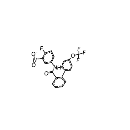 O=C(Nc1ccc(F)c([N+](=O)[O-])c1)c1ccccc1-c1ccc(OC(F)(F)F)cc1